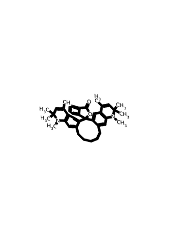 CC1=CC(C)(C)N(C)c2cc3c(cc21)C1(OC(=O)c2ccccc21)c1cc2c(cc1CCCCC3)N(C)C(C)(C)C=C2C